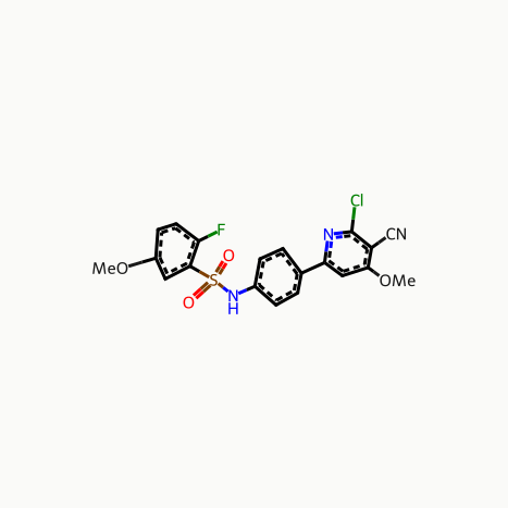 COc1ccc(F)c(S(=O)(=O)Nc2ccc(-c3cc(OC)c(C#N)c(Cl)n3)cc2)c1